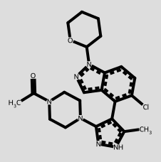 CC(=O)N1CCN(c2n[nH]c(C)c2-c2c(Cl)ccc3c2cnn3C2CCCCO2)CC1